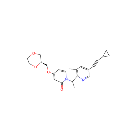 Cc1cc(C#CC2CC2)cnc1C(C)n1ccc(OC[C@@H]2COCCO2)cc1=O